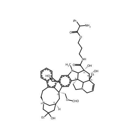 CCC1(O)C[C@H]2C[N@](CCc3c([nH]c4ccccc34)[C@@](COC=O)(c3cc4c(cc3CO)N(C)C3[C@]45CCN4CC=C[C@](CC)(C45)[C@@H](O)[C@]3(O)C(=O)NCCCOC(=O)C(N)C(C)C)C2)C1